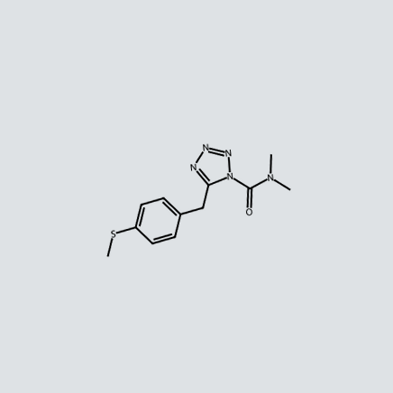 CSc1ccc(Cc2nnnn2C(=O)N(C)C)cc1